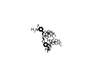 CC(C)(C)OC(=O)N(CCOc1ccc2c(C(F)(F)F)nn(C(=O)OC(C)(C)C)c2c1)CC(O)c1ccc(F)c(N)c1